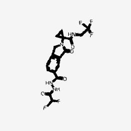 O=C(NNC(=O)C(F)F)c1ccc2c(c1)C(=O)N(C1(C(=O)NCC(F)(F)F)CC1)C2